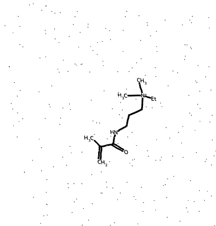 C=C(C)C(=O)NCCC[N+](C)(C)CC